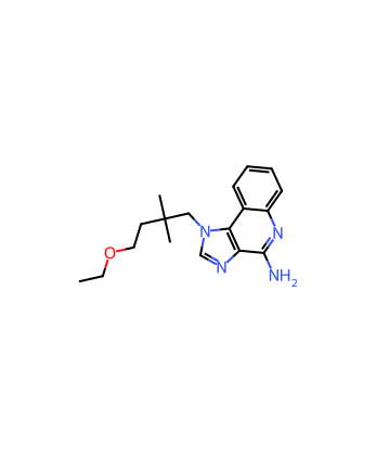 CCOCCC(C)(C)Cn1cnc2c(N)nc3ccccc3c21